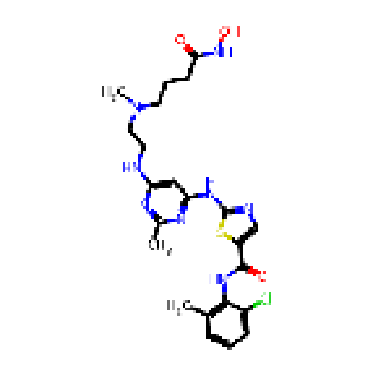 Cc1nc(NCCN(C)CCCC(=O)NO)cc(Nc2ncc(C(=O)Nc3c(C)cccc3Cl)s2)n1